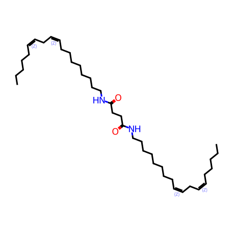 CCCCC/C=C\C/C=C\CCCCCCCCNC(=O)CCC(=O)NCCCCCCCC/C=C\C/C=C\CCCCC